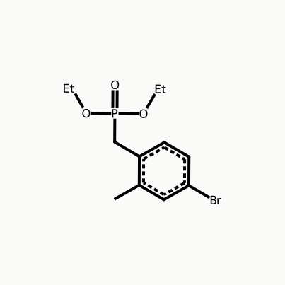 CCOP(=O)(Cc1ccc(Br)cc1C)OCC